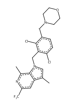 Cc1cn(Cc2c(Cl)ccc([C]N3CCOCC3)c2Cl)c2c(C)nc(C(F)(F)F)cc12